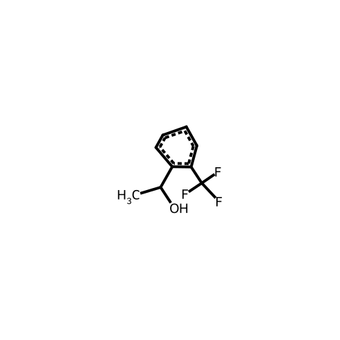 CC(O)c1ccccc1C(F)(F)F